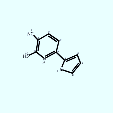 N#Cc1ccc(-c2cccs2)nc1S